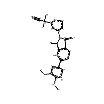 COc1cc(-c2ccc3c(n2)C(C)N(c2ccnc(C(C)(C)C#N)c2)C3=O)cnc1OC